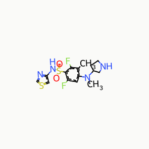 Cc1c(N(C)C2CCNC2)cc(F)c(S(=O)(=O)Nc2cscn2)c1F